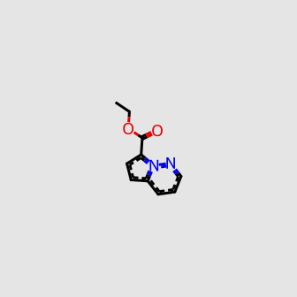 CCOC(=O)c1ccc2cccnn12